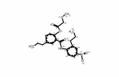 CCCc1ccc(OC(=O)COC)c(C(=O)Nc2ccc([N+](=O)[O-])cc2CCC)c1